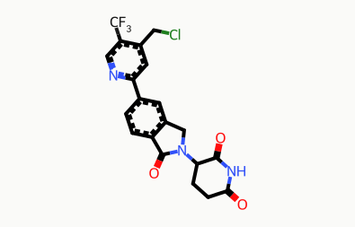 O=C1CCC(N2Cc3cc(-c4cc(CCl)c(C(F)(F)F)cn4)ccc3C2=O)C(=O)N1